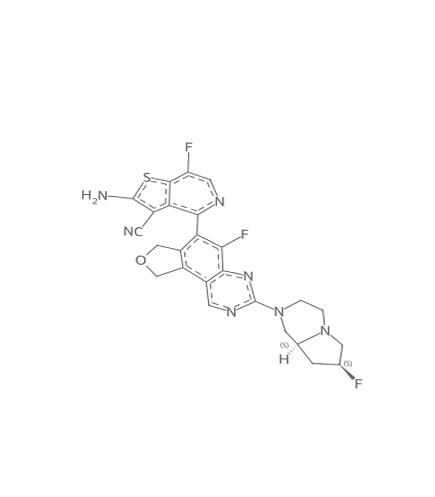 N#Cc1c(N)sc2c(F)cnc(-c3c4c(c5cnc(N6CCN7C[C@@H](F)C[C@H]7C6)nc5c3F)COC4)c12